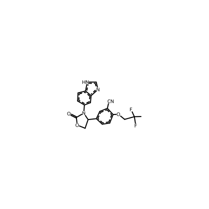 CC(F)(F)COc1ccc(C2COC(=O)N2c2ccc3[nH]cnc3c2)cc1C#N